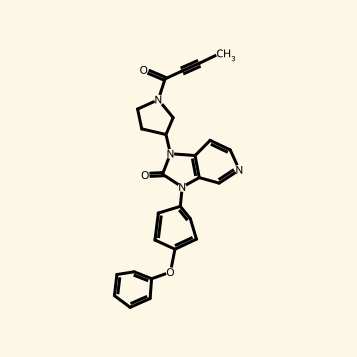 CC#CC(=O)N1CCC(n2c(=O)n(-c3ccc(Oc4ccccc4)cc3)c3cnccc32)C1